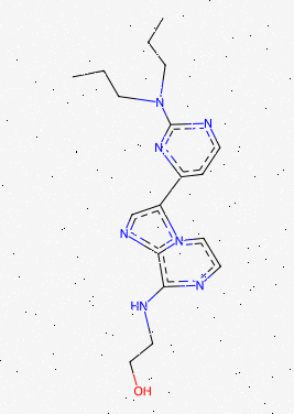 CCCN(CCC)c1nccc(-c2cnc3c(NCCO)nccn23)n1